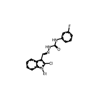 CCn1c(Cl)c(C=NNC(=O)Nc2cccc(F)c2)c2ccccc21